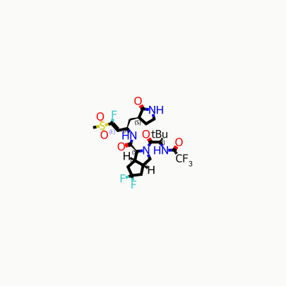 CC(C)(C)[C@@H](NC(=O)C(F)(F)F)C(=O)N1C[C@@H]2CC(F)(F)C[C@@H]2[C@H]1C(=O)N[C@@H](/C=C(\F)S(C)(=O)=O)C[C@@H]1CCNC1=O